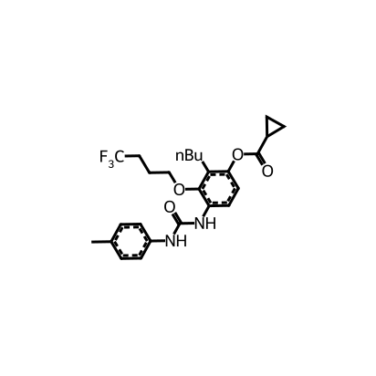 CCCCc1c(OC(=O)C2CC2)ccc(NC(=O)Nc2ccc(C)cc2)c1OCCCC(F)(F)F